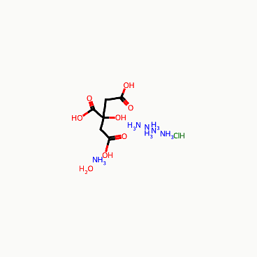 Cl.N.N.N.N.N.O.O=C(O)CC(O)(CC(=O)O)C(=O)O